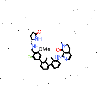 COc1cc(-c2cccc(-c3cccc(Nc4nccc5c4C(=O)N(C)CC5)c3C)c2C)cc(F)c1CNC[C@@H]1CCC(=O)N1